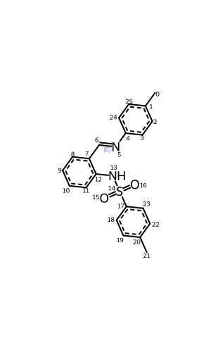 Cc1ccc(/N=C/c2ccccc2NS(=O)(=O)c2ccc(C)cc2)cc1